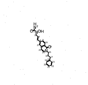 NC(=O)N(O)CC=Cc1ccc2c(=O)n(CCCc3ccccc3)ccc2c1